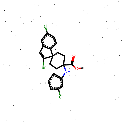 COC(=O)C1(Nc2cccc(Cl)c2)CCC2(CC1)C(Br)=Cc1cc(Cl)ccc12